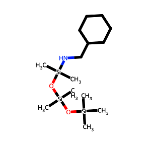 C[Si](C)(C)O[Si](C)(C)O[Si](C)(C)NCC1CCCCC1